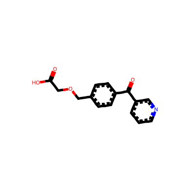 O=C(O)COCc1ccc(C(=O)c2cccnc2)cc1